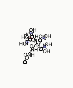 C/C(=N\O)c1cc(CN(Cc2ccc(O)c(/C(C)=N/O)c2)CC(CCC(=O)NCCCNC(=O)OCc2ccccc2)N(Cc2ccc(O)c(/C(C)=N/O)c2)Cc2ccc(O)c(/C(C)=N/O)c2)ccc1O